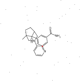 CC12CCC(CN(c3cccnc3)C1)C2(O)c1cccc(C(N)=O)c1